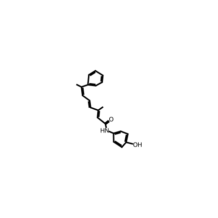 C/C(=C/C=C/C(C)=C/C(=O)Nc1ccc(O)cc1)c1ccccc1